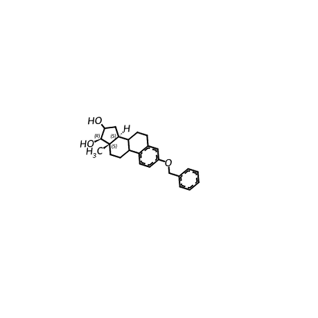 C[C@]12CCC3c4ccc(OCc5ccccc5)cc4CCC3[C@@H]1CC(O)[C@@H]2O